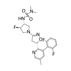 Cc1cnc([C@@H]2CC(N3C[C@@H](F)[C@H](NS(=O)(=O)N(C)C)C3)=NO2)c(-c2c(F)cccc2F)c1